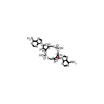 Nc1ncnc2c1ncn2[C@@H]1O[C@@H]2COP(=O)(O)O[C@@H]3[C@H](F)[C@@H](COP(=O)(O)O[C@H]2[C@H]1F)O[C@H]3n1cnc2c(N)ncnc21